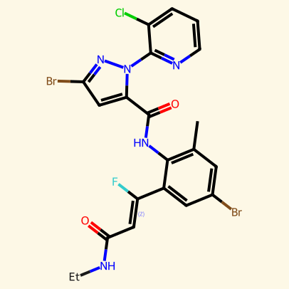 CCNC(=O)/C=C(\F)c1cc(Br)cc(C)c1NC(=O)c1cc(Br)nn1-c1ncccc1Cl